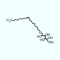 CCCCCCCC/C=C\CCCCCCCCOC[C@H](O)[C@@H](O)[C@H](O)[C@H](O)CO